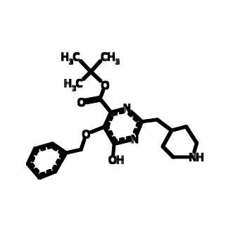 CC(C)(C)OC(=O)c1nc(CC2CCNCC2)nc(O)c1OCc1ccccc1